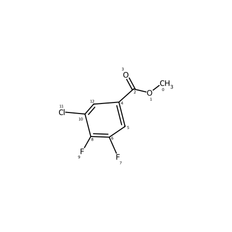 COC(=O)c1cc(F)c(F)c(Cl)c1